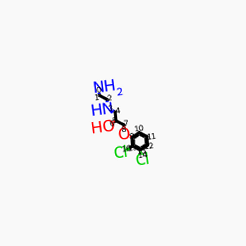 NCCNCC(O)COc1cccc(Cl)c1Cl